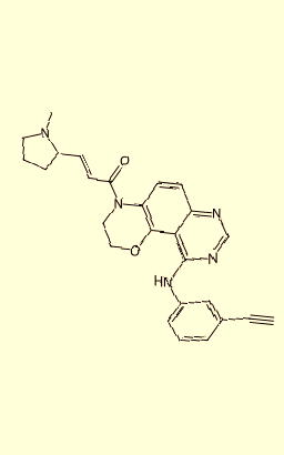 C#Cc1cccc(Nc2ncnc3ccc4c(c23)OCCN4C(=O)/C=C/C2CCCN2C)c1